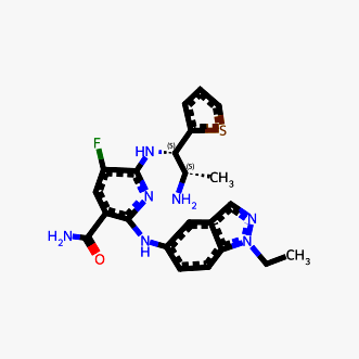 CCn1ncc2cc(Nc3nc(N[C@H](c4cccs4)[C@H](C)N)c(F)cc3C(N)=O)ccc21